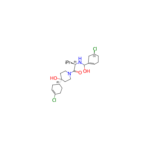 CC(C)[C@@H](NC(O)C1=CCC[C@H](Cl)C1)C(=O)N1CCC(O)([C@H]2CC=C(Cl)CC2)CC1